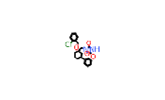 O=c1[nH]c(=O)n(CC2(OCc3ccccc3Cl)C=CC=C(c3ccccc3)C2)o1